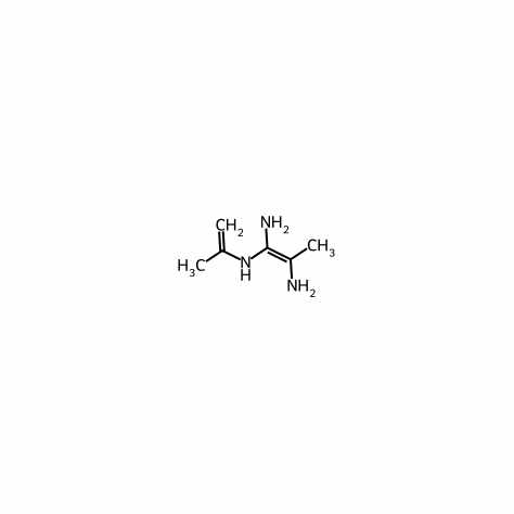 C=C(C)N/C(N)=C(/C)N